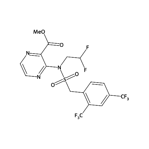 COC(=O)c1nccnc1N(CC(F)F)S(=O)(=O)Cc1ccc(C(F)(F)F)cc1C(F)(F)F